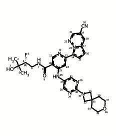 CC(C)(O)[C@H](F)CNC(=O)c1cnc(-c2ccc3cc(C#N)cnn23)cc1Nc1cnc(N2CC3(CCOCC3)C2)nc1